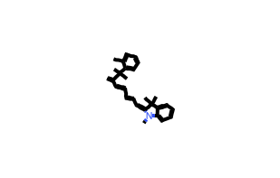 C=C(/C=C/C=C/C=C1/N(C)c2ccccc2C1(C)C)C(C)(C)c1ccccc1C